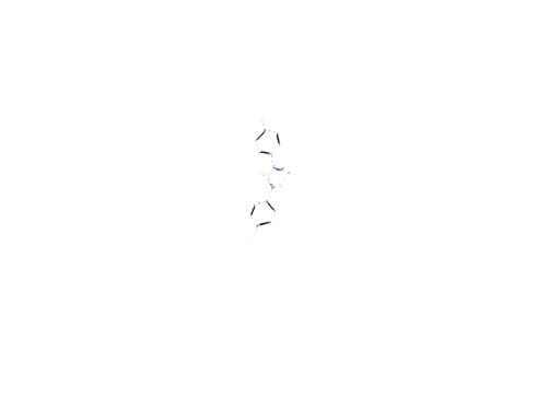 Cc1ccc(-c2noc(-c3ccc(C)cc3)n2)cc1